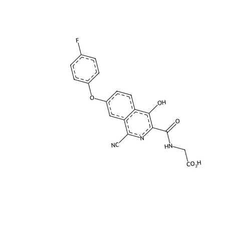 N#Cc1nc(C(=O)NCC(=O)O)c(O)c2ccc(Oc3ccc(F)cc3)cc12